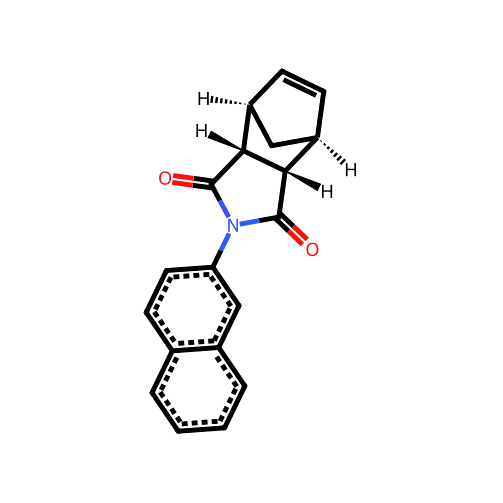 O=C1[C@@H]2[C@H](C(=O)N1c1ccc3ccccc3c1)[C@H]1C=C[C@@H]2C1